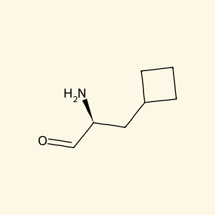 N[C@H](C=O)CC1CCC1